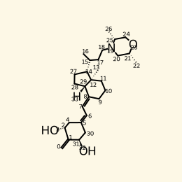 C=C1[C@H](O)CC(=C/C=C2\CCC[C@]3(C)[C@@H](C(C)CCN4C[C@@H](C)OC[C@H]4C)CC[C@@H]23)C[C@H]1O